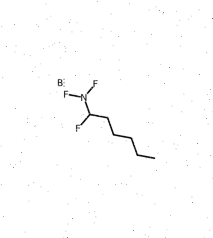 CCCCCC(F)N(F)F.[B]